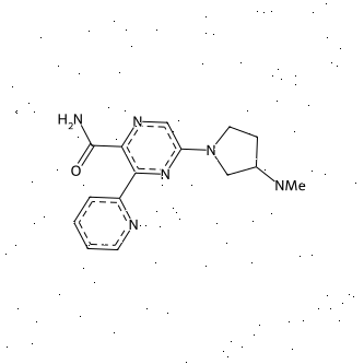 CNC1CCN(c2cnc(C(N)=O)c(-c3ccccn3)n2)C1